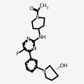 CC(=O)N1CCC(Nc2ncc(F)c(-c3cccc(N4CCC[C@@H](O)C4)c3)n2)CC1